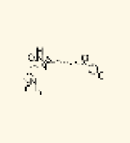 Cc1ccc(Cc2cnc(SCCCCCCCC(=O)c3ccc(Cl)cc3)[nH]c2=O)cn1